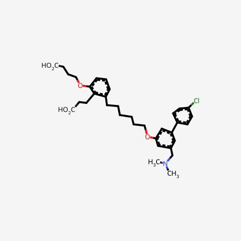 CN(C)Cc1cc(OCCCCCCc2cccc(OCCCC(=O)O)c2CCC(=O)O)cc(-c2ccc(Cl)cc2)c1